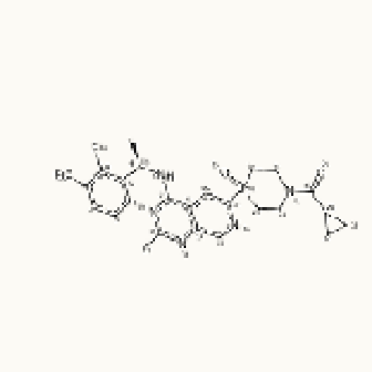 CCc1cccc([C@@H](C)Nc2nc(C)nc3cnc(P4(=O)CCN(C(=O)C5CC5)CC4)cc23)c1F